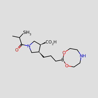 CC([SiH3])C(=O)N1C[C@H](CCCB2OCCNCCO2)[C@H](C(=O)O)C1